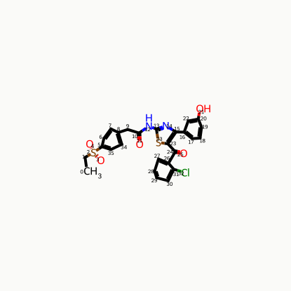 CCS(=O)(=O)c1ccc(CC(=O)Nc2nc(-c3cccc(O)c3)c(C(=O)c3ccccc3Cl)s2)cc1